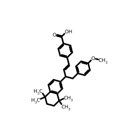 COc1ccc(CC(C=Cc2ccc(C(=O)O)cc2)c2ccc3c(c2)C(C)(C)CCC3(C)C)cc1